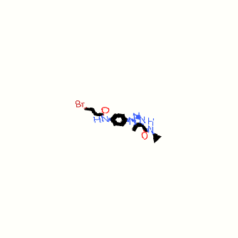 Cc1c(C(=O)NC2CC2)nnn1-c1ccc(NC(=O)CCCBr)cc1